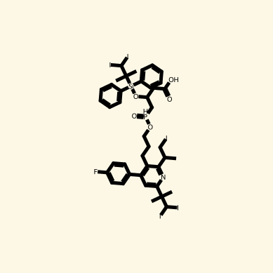 CC(CI)c1nc(C(C)(C)C(I)I)cc(-c2ccc(F)cc2)c1CCCO[PH](=O)CC(CC(=O)O)O[Si](c1ccccc1)(c1ccccc1)C(C)(C)C(I)I